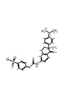 CCS(=O)(=O)c1ccc(CC(=O)Nc2ccc3c(n2)CCC(C)(c2ccc(N(C)C)cc2)C3=O)cc1